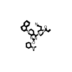 C=CC(=O)N1CCN(c2nc(O[C@H]3CCCCC3N(C)C)nc3c2CCN(c2cccc4ccccc24)C3)CC1CC#N